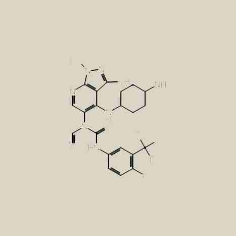 Cc1nn(C)c2ncc(N(C=O)C(=O)Nc3ccc(F)c(C(F)(F)F)c3)c(NC3CCC(N)CC3)c12